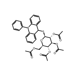 CC(=O)OC[C@H]1O[C@@H](SC2c3ccccc3N(c3ccccc3)c3ccccc32)[C@H](OC(C)=O)[C@@H](OC(C)=O)[C@@H]1OC(C)=O